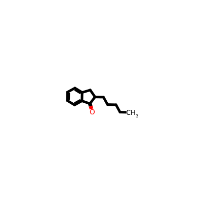 CCCCCC1Cc2ccccc2C1=O